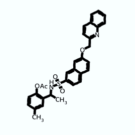 CC(=O)Oc1ccc(C)cc1C(C)NS(=O)(=O)c1ccc2ccc(OCc3ccc4ccccc4n3)cc2c1